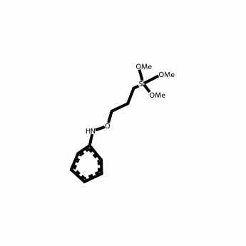 CO[Si](CCCONc1ccccc1)(OC)OC